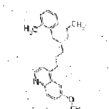 [CH2]CC[C@H](CCCc1ccnc2ccc(OC)cc12)Cc1ccccc1C